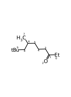 CCC(=O)CCCC(C)CC(C)(C)C